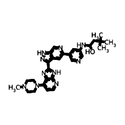 CN1CCN(c2ccnc3[nH]c(-c4n[nH]c5cnc(-c6cncc(NC(O)CC(C)(C)C)c6)cc45)nc23)CC1